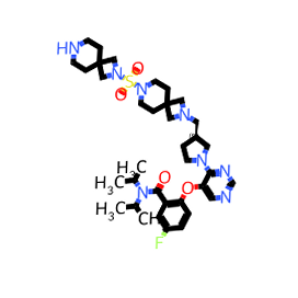 CC(C)N(C(=O)c1cc(F)ccc1Oc1cncnc1N1CC[C@@H](CN2CC3(CCN(S(=O)(=O)N4CC5(CCNCC5)C4)CC3)C2)C1)C(C)C